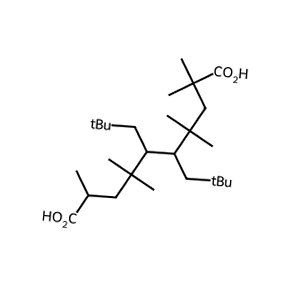 CC(CC(C)(C)C(CC(C)(C)C)C(CC(C)(C)C)C(C)(C)CC(C)(C)C(=O)O)C(=O)O